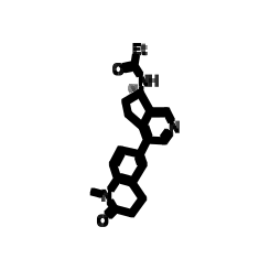 CCC(=O)N[C@H]1CCc2c(-c3ccc4c(c3)CCC(=O)N4C)cncc21